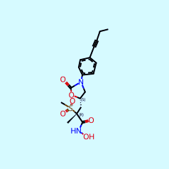 CCC#Cc1ccc(N2C[C@H](C[C@](C)(C(=O)NO)S(C)(=O)=O)OC2=O)cc1